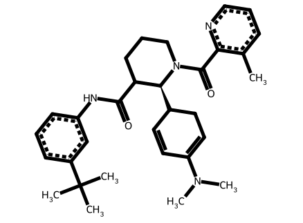 Cc1cccnc1C(=O)N1CCCC(C(=O)Nc2cccc(C(C)(C)C)c2)[C@@H]1C1C=CC(N(C)C)=CC1